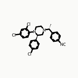 [C-]#[N+]c1ccc([C@@H](C)N2CCN(c3ccc(Cl)cc3Cl)[C@H](c3ccc(Cl)cc3)C2)cc1